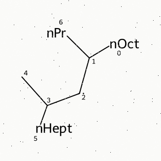 CCCCCCCCC([CH]C(C)CCCCCCC)CCC